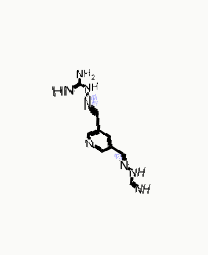 N=CN/N=C/c1cncc(/C=N/NC(=N)N)c1